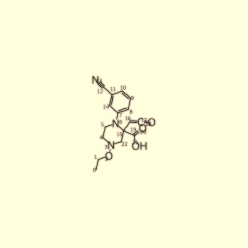 CCON1CCN(c2cccc(C#N)c2)C(C=C=O)(C(=O)O)C1